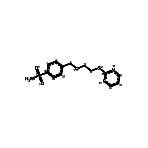 NS(=O)(=O)c1ccc(COCCSc2ncccn2)cc1